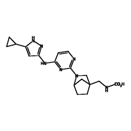 O=C(O)NCC12CCC(C1)N(c1nccc(Nc3cc(C4CC4)[nH]n3)n1)C2